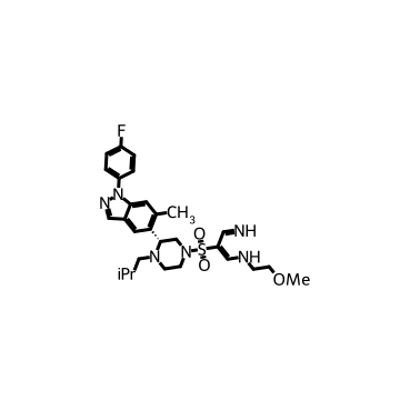 COCCN/C=C(\C=N)S(=O)(=O)N1CCN(CC(C)C)[C@H](c2cc3cnn(-c4ccc(F)cc4)c3cc2C)C1